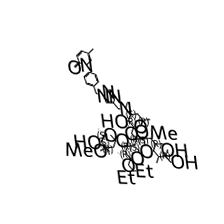 CCC(CC)OC(=O)[C@H](C)[C@H](OC1C[C@@](C)(OC)[C@@H](O)[C@H](C)O1)[C@H](C)[C@@H](OC1O[C@H](C)C[C@H](N(C)Cc2cn(Cc3ccc(-n4cc(C)ccc4=O)cc3)nn2)[C@H]1O)[C@](C)(C[C@@H](C)C(=O)C(C)[C@@H](O)CO)OC